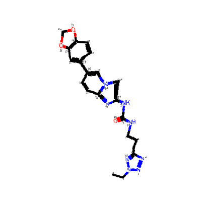 CCn1nnc(CCNC(=O)Nc2cn3cc(-c4ccc5c(c4)OCO5)ccc3n2)n1